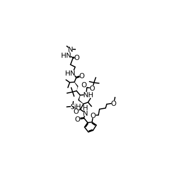 COCCCCOc1ccccc1C(=O)NC(O[SiH](C)C)[C@@H](C[C@H](NC(=O)OC(C)(C)C)[C@@H](C[C@H](C(=O)NCCC(=O)NN(C)C)C(C)C)C(C)(C)C)C(C)C